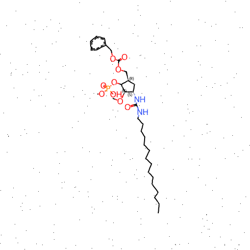 CCCCCCCCCCCCCCCNC(=O)N[C@H]1C[C@H](COC(=O)OCc2ccccc2)C(OP(=O)(O)OC)[C@@H]1OC